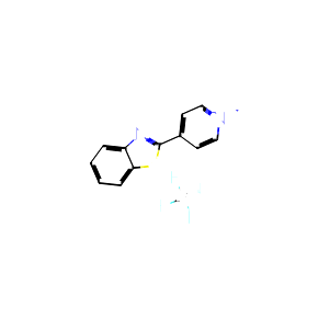 C[n+]1ccc(-c2nc3ccccc3s2)cc1.F[B-](F)(F)F